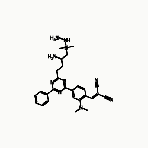 CN(C)c1cc(-c2nc(CCC(N)C[Si](C)(C)N[SiH3])nc(-c3ccccc3)n2)ccc1C=C(C#N)C#N